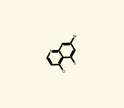 Fc1cc(Br)cc2nccc(Cl)c12